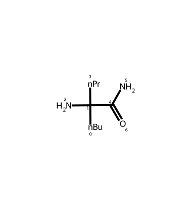 CCCCC(N)(CCC)C(N)=O